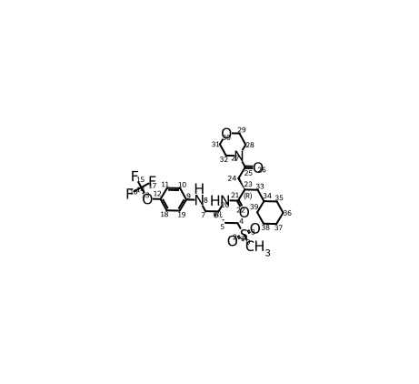 CS(=O)(=O)CC[C@H](CNc1ccc(OC(F)(F)F)cc1)NC(=O)[C@@H](CC(=O)N1CCOCC1)CC1CCCCC1